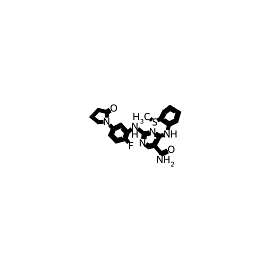 CSc1ccccc1Nc1nc(Nc2cc(N3CCCC3=O)ccc2F)ncc1C(N)=O